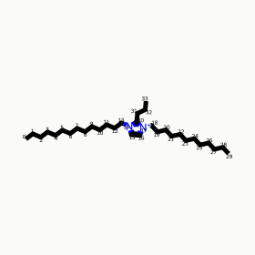 CCCCCCCCCCCCCCn1cc[n+](CCCCCCCCCCCC)c1CCC